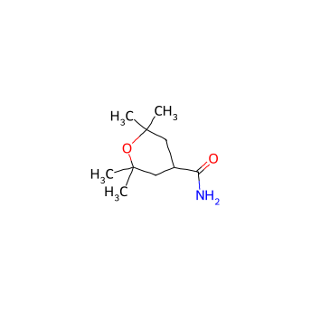 CC1(C)CC(C(N)=O)CC(C)(C)O1